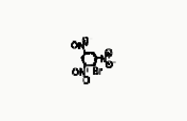 O=[N+]([O-])c1cc([N+](=O)[O-])c(Br)c([N+](=O)[O-])c1